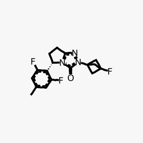 Cc1cc(F)c([C@@H]2CCc3nn(C45CC(F)(C4)C5)c(=O)n32)c(F)c1